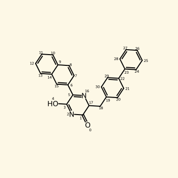 O=C1N=C(O)C(c2ccc3ccccc3c2)=NC1Cc1ccc(-c2ccccc2)cc1